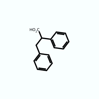 O=C(O)C(Cc1ccccc1)c1c[c]ccc1